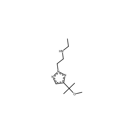 CCNCCn1ncc(C(C)(C)OC)n1